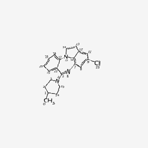 CC1CCN(C2=Nc3cc(Cl)cc4ccn(c34)-c3ccccc32)CC1